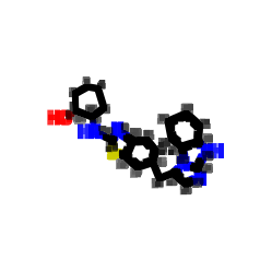 O[C@@H]1CCCC[C@H]1Nc1nc2ccc(Cc3cnc4[nH]c5ccccc5n34)cc2s1